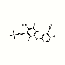 Cc1c(C#C[Si](C)(C)C)c(N)c(F)c(F)c1Oc1ccc(F)c(C#N)c1